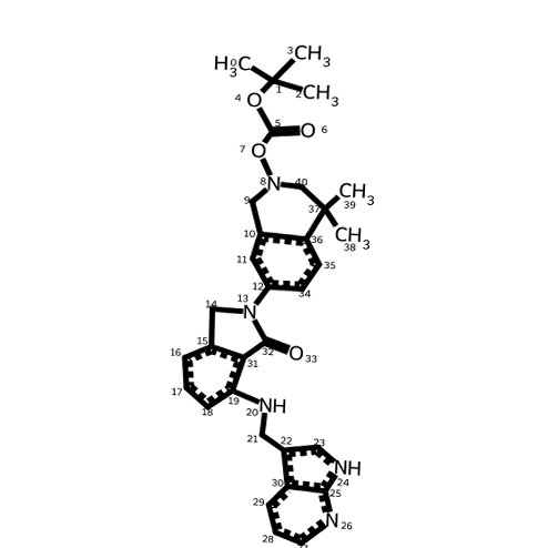 CC(C)(C)OC(=O)ON1Cc2cc(N3Cc4cccc(NCc5c[nH]c6ncccc56)c4C3=O)ccc2C(C)(C)C1